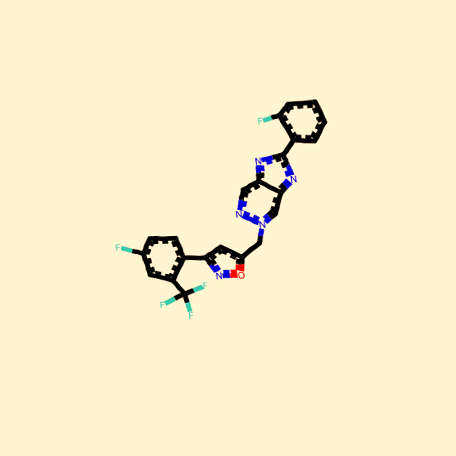 Fc1ccc(-c2cc(Cn3cc4nc(-c5ccccc5F)nc-4cn3)on2)c(C(F)(F)F)c1